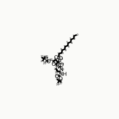 CCCCCCCCCCCCC(=O)O[C@@H]1[C@@H](CO[Si](C)(C)C(C)(C)C)O[C@@H](n2ccc(NC(=O)OC(C)(C)C)nc2=O)C1(F)F